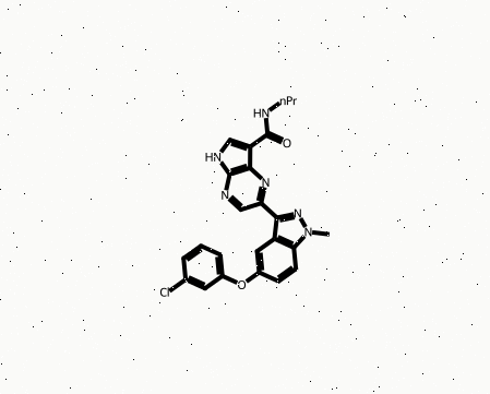 CCCNC(=O)c1c[nH]c2ncc(-c3nn(C)c4ccc(Oc5cccc(Cl)c5)cc34)nc12